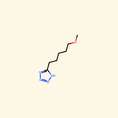 [CH2]OCCCCCc1nnn[nH]1